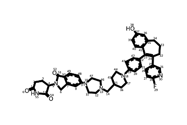 O=C1CCC(N2Cc3cc(N4CCN(CC5CCN(c6ccc(C7=C(c8ccc(F)nc8)CCCc8cc(O)ccc87)cc6)CC5)CC4)ccc3C2=O)C(=O)N1